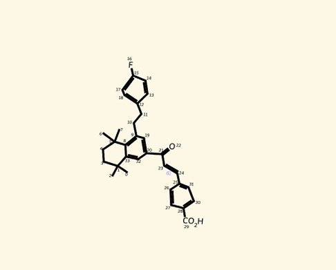 CC1(C)CCC(C)(C)c2c(CCc3ccc(F)cc3)cc(C(=O)/C=C/c3ccc(C(=O)O)cc3)cc21